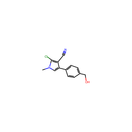 Cn1cc(-c2ccc(CO)cc2)c(C#N)c1Cl